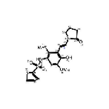 COc1cc(NS(=O)(=O)c2cccs2)c(SC)c(/C=C/N2CCCC2=O)c1O